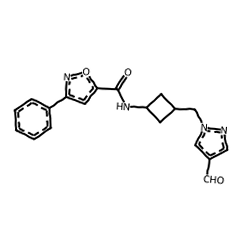 O=Cc1cnn(CC2CC(NC(=O)c3cc(-c4ccccc4)no3)C2)c1